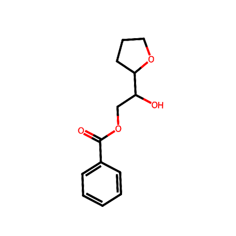 O=C(OCC(O)C1CCCO1)c1ccccc1